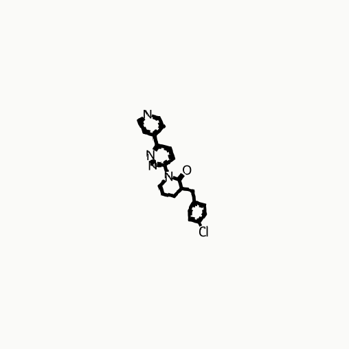 O=C1C(Cc2ccc(Cl)cc2)CCCN1c1ccc(-c2ccncc2)nn1